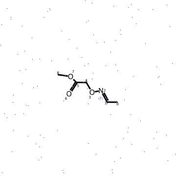 C/[C]=N/OCC(=O)OC